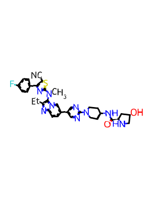 CCc1nc2ccc(-c3cnc(N4CCC(NC(=O)[C@H]5C[C@H](O)CN5)CC4)nc3)cn2c1N(C)c1nc(-c2ccc(F)cc2)c(C#N)s1